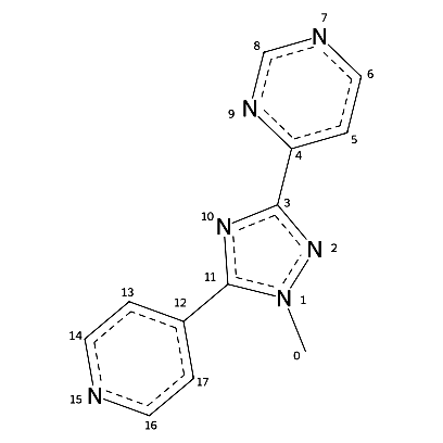 Cn1nc(-c2ccncn2)nc1-c1ccncc1